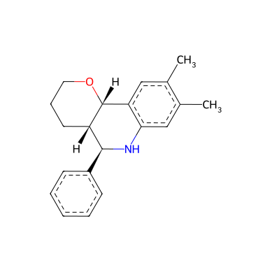 Cc1cc2c(cc1C)[C@H]1OCCC[C@H]1[C@H](c1ccccc1)N2